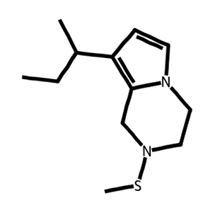 CCC(C)c1ccn2c1CN(SC)CC2